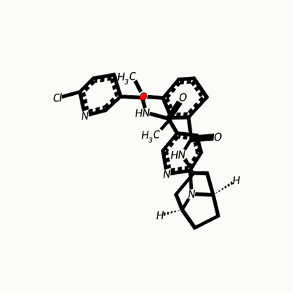 COc1cccc(C(=O)N[C@H]2C[C@H]3CC[C@@H](C2)N3c2ccc(C(=O)NCc3ccc(Cl)nc3)cn2)c1C